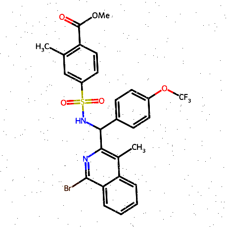 COC(=O)c1ccc(S(=O)(=O)NC(c2ccc(OC(F)(F)F)cc2)c2nc(Br)c3ccccc3c2C)cc1C